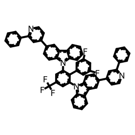 Fc1cc(F)cc(-c2c(-n3c4ccccc4c4cc(-c5ccnc(-c6ccccc6)c5)ccc43)cc(C(F)(F)F)cc2-n2c3ccccc3c3cc(-c4ccnc(-c5ccccc5)c4)ccc32)c1